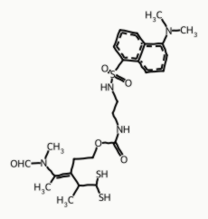 CC(=C(CCOC(=O)NCCNS(=O)(=O)c1cccc2c(N(C)C)cccc12)C(C)C(S)S)N(C)C=O